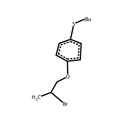 CCC(C)Sc1ccc(OCC(C)Br)cc1